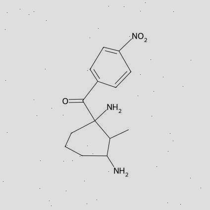 CC1C(N)CCCC1(N)C(=O)c1ccc([N+](=O)[O-])cc1